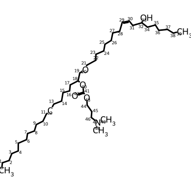 CCCCCCCCCCCCCCCCCCC(COCCCCCCCC/C=C\CC(O)CCCCCC)OC(=O)OCCCN(C)C